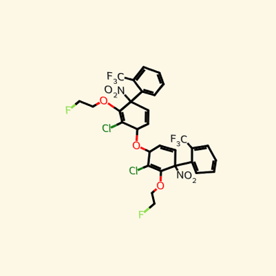 O=[N+]([O-])C1(c2ccccc2C(F)(F)F)C=CC(OC2C=CC(c3ccccc3C(F)(F)F)([N+](=O)[O-])C(OCCF)=C2Cl)C(Cl)=C1OCCF